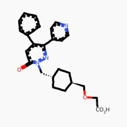 O=C(O)COC[C@H]1CC[C@H](Cn2nc(-c3ccncc3)c(-c3ccccc3)cc2=O)CC1